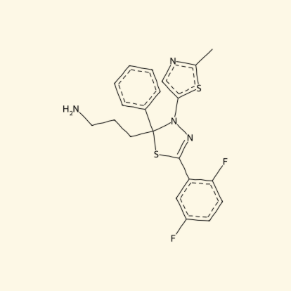 Cc1ncc(N2N=C(c3cc(F)ccc3F)SC2(CCCN)c2ccccc2)s1